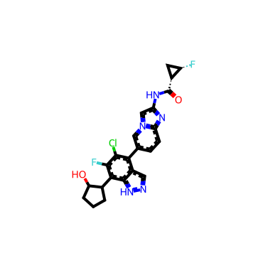 O=C(Nc1cn2cc(-c3c(Cl)c(F)c(C4CCCC4O)c4[nH]ncc34)ccc2n1)[C@@H]1C[C@@H]1F